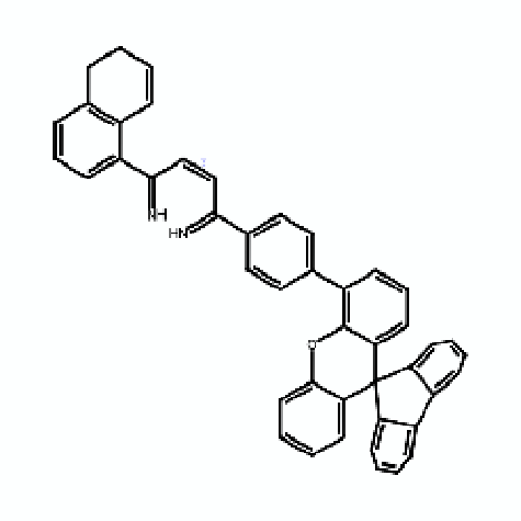 N=C(/C=C\C(=N)c1cccc2c1C=CCC2)c1ccc(-c2cccc3c2Oc2ccccc2C32c3ccccc3-c3ccccc32)cc1